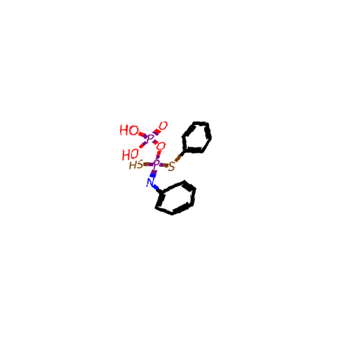 O=P(O)(O)OP(S)(=Nc1ccccc1)Sc1ccccc1